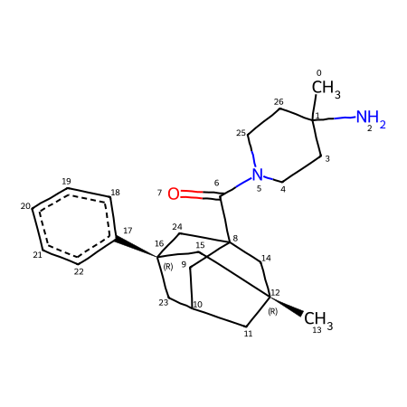 CC1(N)CCN(C(=O)C23CC4C[C@@](C)(C2)C[C@](c2ccccc2)(C4)C3)CC1